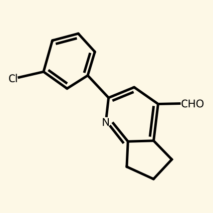 O=Cc1cc(-c2cccc(Cl)c2)nc2c1CCC2